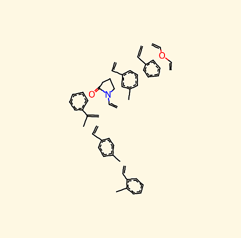 C=C(C)c1ccccc1.C=CN1CCCC1=O.C=COC=C.C=Cc1ccc(C)cc1.C=Cc1cccc(C)c1.C=Cc1ccccc1.C=Cc1ccccc1C